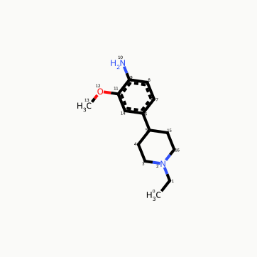 C[CH]N1CCC(c2ccc(N)c(OC)c2)CC1